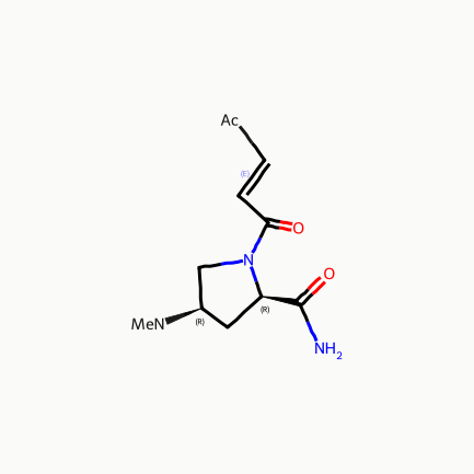 CN[C@@H]1C[C@H](C(N)=O)N(C(=O)/C=C/C(C)=O)C1